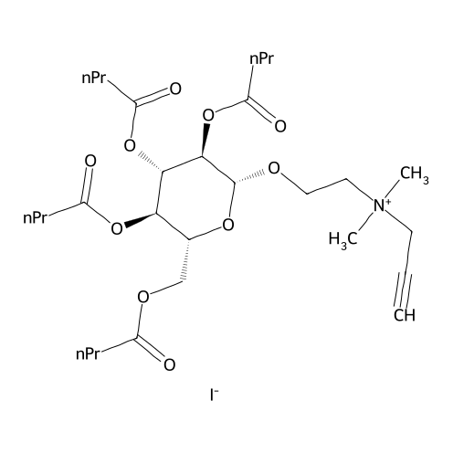 C#CC[N+](C)(C)CCO[C@@H]1O[C@H](COC(=O)CCC)[C@@H](OC(=O)CCC)[C@H](OC(=O)CCC)[C@H]1OC(=O)CCC.[I-]